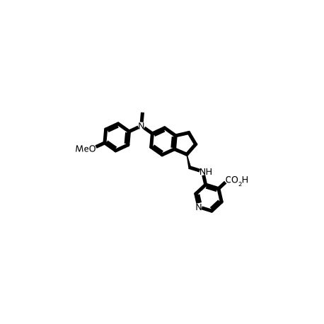 COc1ccc(N(C)c2ccc3c(c2)CC[C@H]3CNc2cnccc2C(=O)O)cc1